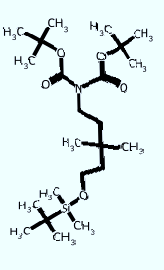 CC(C)(CCO[Si](C)(C)C(C)(C)C)CCN(C(=O)OC(C)(C)C)C(=O)OC(C)(C)C